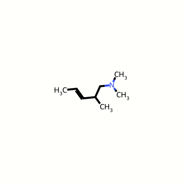 CC=CC(C)CN(C)C